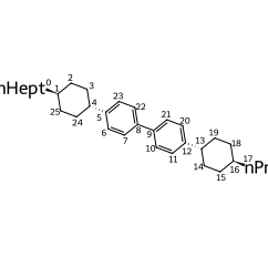 CCCCCCC[C@H]1CC[C@H](c2ccc(-c3ccc([C@H]4CC[C@H](CCC)CC4)cc3)cc2)CC1